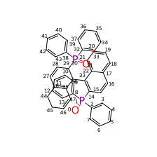 O=P(c1ccccc1)(c1ccccc1)c1ccc2ccccc2c1C1C2=C(C=CC1P(=O)(c1ccccc1)c1ccccc1)CCC=C2